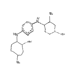 CC(C)(C)C1CCC(Nc2ccc(NC3CCC(C(C)(C)C)CC3C(C)(C)C)cc2)C(C(C)(C)C)C1